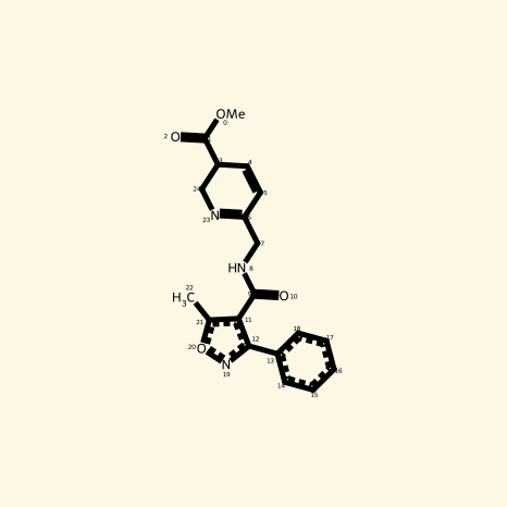 COC(=O)C1C=CC(CNC(=O)c2c(-c3ccccc3)noc2C)=NC1